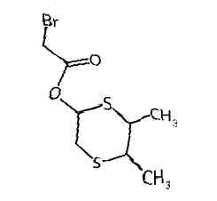 CC1SCC(OC(=O)CBr)SC1C